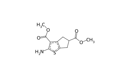 COC(=O)c1c(N)sc2c1CC(C(=O)OC)C2